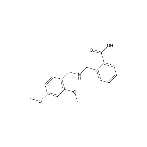 COc1ccc(CNCc2ccccc2C(=O)O)c(OC)c1